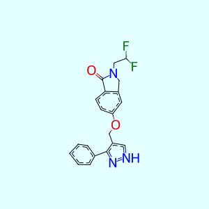 O=C1c2ccc(OCc3c[nH]nc3-c3ccccc3)cc2CN1CC(F)F